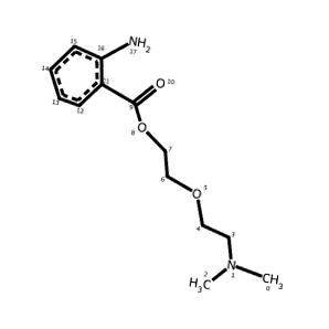 CN(C)CCOCCOC(=O)c1ccccc1N